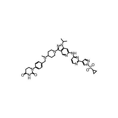 CC(C)n1nc(N2CCC(N(C)Cc3ccc(N4CCC(=O)NC4=O)cc3)CC2)c2cnc(Nc3ccnc(-c4cnn(S(=O)(=O)C5CC5)c4)n3)cc21